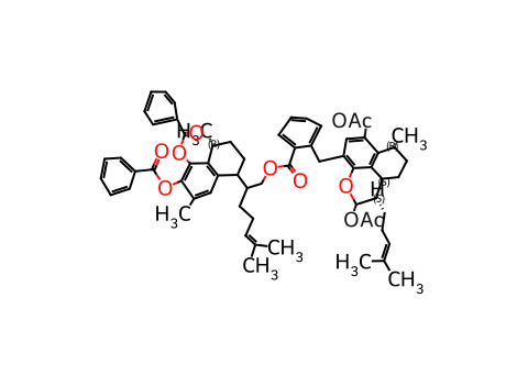 CC(=O)Oc1cc(Cc2ccccc2C(=O)OCC(CCC=C(C)C)C2CC[C@@H](C)c3c2cc(C)c(OC(=O)c2ccccc2)c3OC(=O)c2ccccc2)c2c3c1[C@H](C)CC[C@H]3[C@H](CCC=C(C)C)C(OC(C)=O)O2